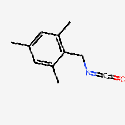 Cc1cc(C)c(CN=C=O)c(C)c1